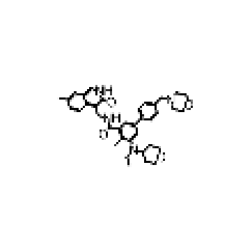 CCN(c1cc(-c2ccc(CN3CCOCC3)cc2)cc(C(=O)NCc2c(=O)[nH]cc3cc(C)ccc23)c1C)C1CCOCC1